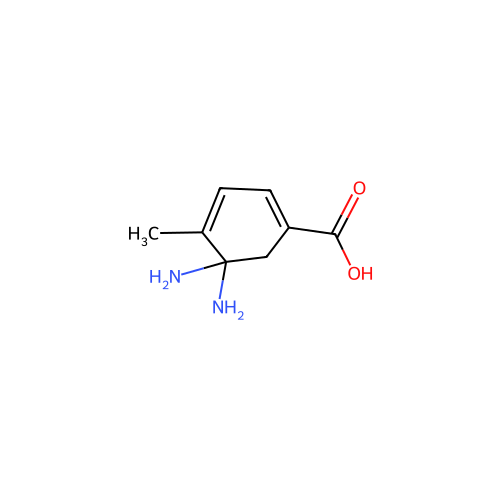 CC1=CC=C(C(=O)O)CC1(N)N